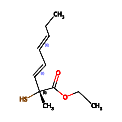 CC/C=C/C=C/[C@@](C)(S)C(=O)OCC